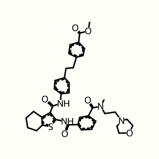 COC(=O)c1ccc(CCc2ccc(NC(=O)c3c(NC(=O)c4cccc(C(=O)N(C)CCN5CCOCC5)c4)sc4c3CCCC4)cc2)cc1